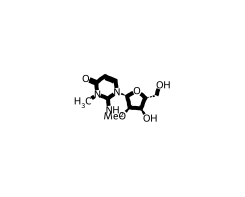 CO[C@@H]1[C@H](O)[C@@H](CO)O[C@H]1N1C=CC(=O)N(C)C1N